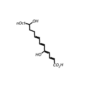 CCCCCCCCC(O)CCC=CC=CC(O)=CC=CC(=O)O